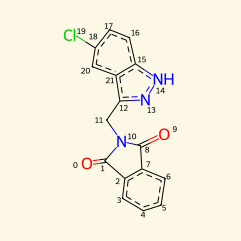 O=C1c2ccccc2C(=O)N1Cc1n[nH]c2ccc(Cl)cc12